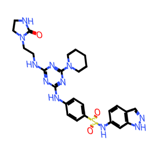 O=C1NCCN1CCNc1nc(Nc2ccc(S(=O)(=O)Nc3ccc4cn[nH]c4c3)cc2)nc(N2CCCCC2)n1